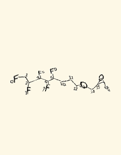 FCC(F)C(F)C(F)C(F)CCCOCC1CO1